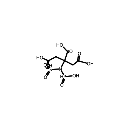 O=C(O)CC(CC(=O)O)(C(=O)O)N([PH](=O)O)[SH](=O)=O